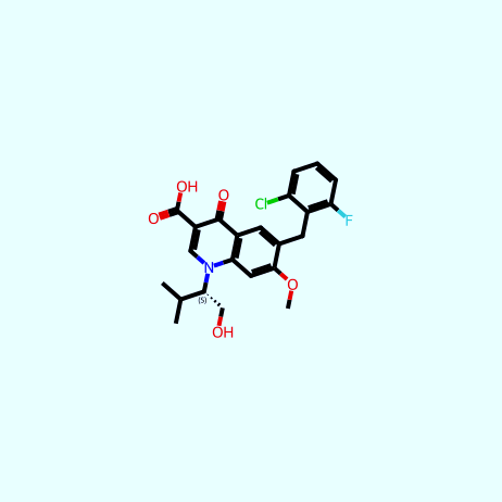 COc1cc2c(cc1Cc1c(F)cccc1Cl)c(=O)c(C(=O)O)cn2[C@H](CO)C(C)C